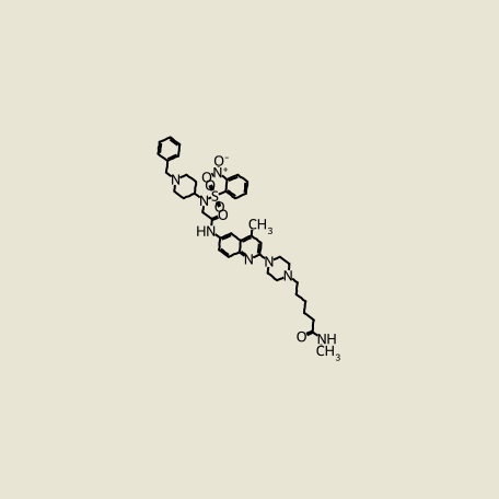 CNC(=O)CCCCCN1CCN(c2cc(C)c3cc(NC(=O)CN(C4CCN(Cc5ccccc5)CC4)S(=O)(=O)c4ccccc4[N+](=O)[O-])ccc3n2)CC1